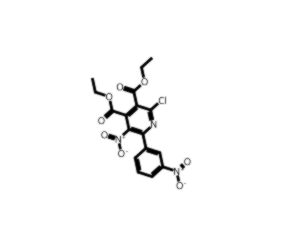 CCOC(=O)c1c(Cl)nc(-c2cccc([N+](=O)[O-])c2)c([N+](=O)[O-])c1C(=O)OCC